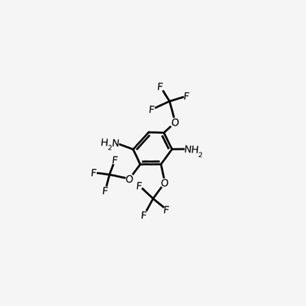 Nc1cc(OC(F)(F)F)c(N)c(OC(F)(F)F)c1OC(F)(F)F